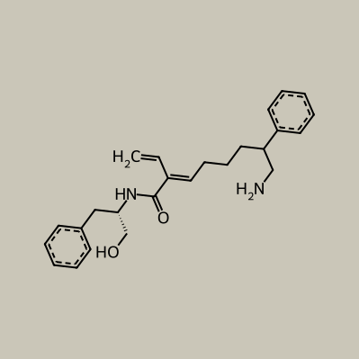 C=C/C(=C\CCCC(CN)c1ccccc1)C(=O)N[C@H](CO)Cc1ccccc1